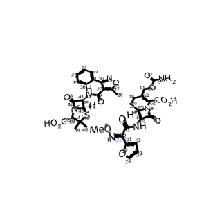 CO/N=C(\C(=O)N[C@@H]1C(=O)N2C(C(=O)O)=C(COC(N)=O)CS[C@H]12)c1ccco1.Cc1onc(-c2ccccc2)c1C(=O)N[C@@H]1C(=O)N2[C@@H]1SC(C)(C)[C@@H]2C(=O)O